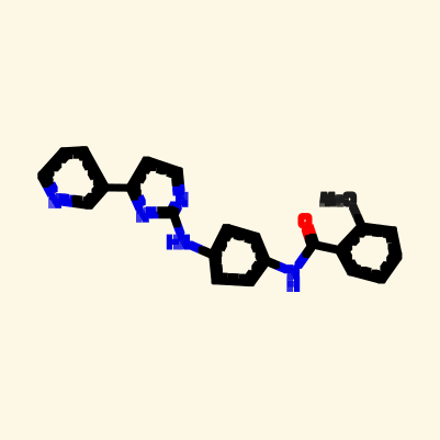 COc1ccccc1C(=O)Nc1ccc(Nc2nccc(-c3cccnc3)n2)cc1